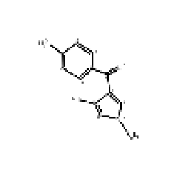 Cc1ccc(C(=O)c2cn(C)cc2I)cc1